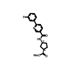 COC(=O)[C@@H]1CC[C@H](NC(=O)c2ccc(-c3cccc(F)c3)nc2)C1